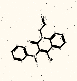 C=CCn1c(=O)c([S+]([O-])c2ccccc2)c(O)c2ccccc21